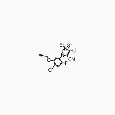 C#CCOc1cc(N2C[N+]([O-])(CC)C(Cl)=C2C#N)c(F)cc1Cl